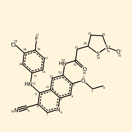 CCOc1cc2ncc(C#N)c(Nc3ccc(F)c(Cl)c3)c2cc1NC(=O)CC1CC[S+]([O-])S1